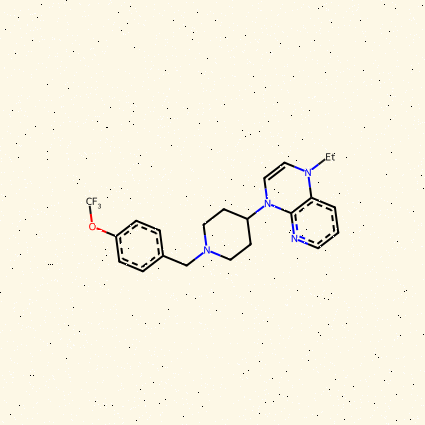 CCN1C=CN(C2CCN(Cc3ccc(OC(F)(F)F)cc3)CC2)c2ncccc21